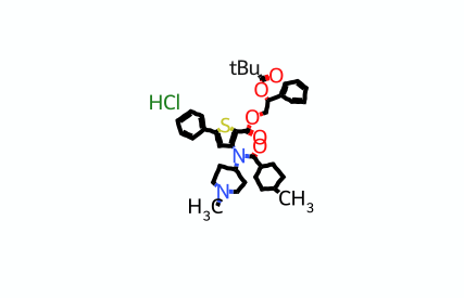 CC1CCC(C(=O)N(c2cc(-c3ccccc3)sc2C(=O)OCC(OC(=O)C(C)(C)C)c2ccccc2)C2CCN(C)CC2)CC1.Cl